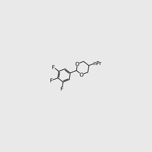 CCCC1COC(c2cc(F)c(F)c(F)c2)OC1